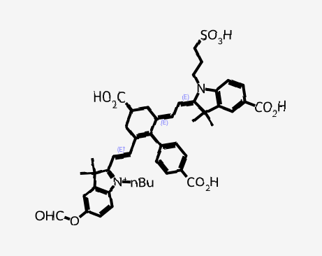 CCCC[N+]1=C(/C=C/C2=C(c3ccc(C(=O)O)cc3)C(=C/C=C3/N(CCCS(=O)(=O)O)c4ccc(C(=O)O)cc4C3(C)C)/CC(C(=O)O)C2)C(C)(C)c2cc(OC=O)ccc21